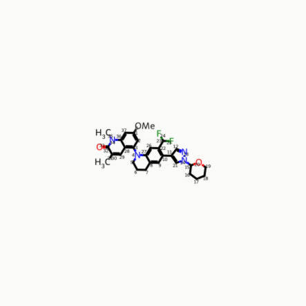 COc1cc(N2CCCc3cc(-c4cnn(C5CCCCO5)c4)c(C(F)F)cc32)c2cc(C)c(=O)n(C)c2c1